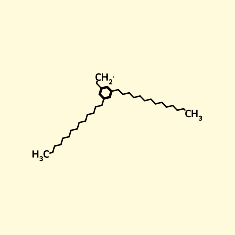 [CH2]Cc1cc(CCCCCCCCCCCCCC)cc(CCCCCCCCCCCCCC)c1